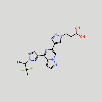 CCC(n1cc(-c2nc(-c3cnn(CCC(O)O)c3)cn3nccc23)cn1)C(C)(F)F